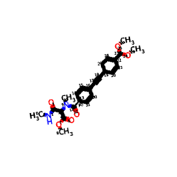 CNC(=O)C(C(=O)OC)N(C)C(=O)[C@H]1C=C=C(C#CC2C=CC(C(OC)OC)=CC2)C=C1